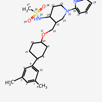 Cc1cc(C)cc(C2CCC(OCC3CN(c4ccccn4)CCC3NS(C)(=O)=O)CC2)c1